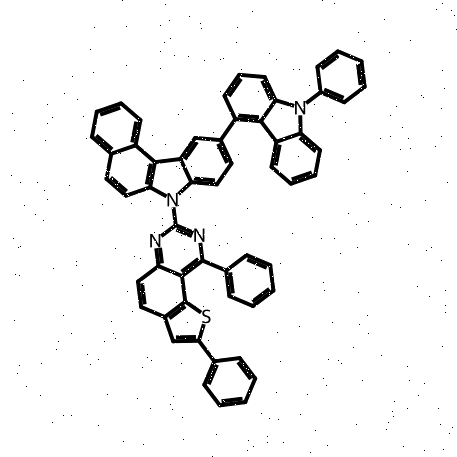 c1ccc(-c2cc3ccc4nc(-n5c6ccc(-c7cccc8c7c7ccccc7n8-c7ccccc7)cc6c6c7ccccc7ccc65)nc(-c5ccccc5)c4c3s2)cc1